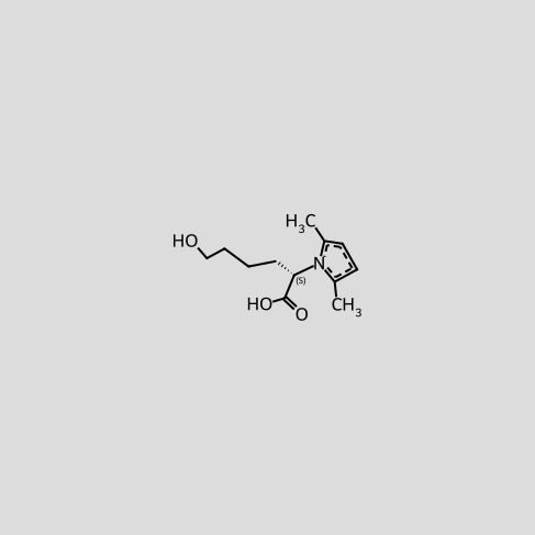 Cc1ccc(C)n1[C@@H](CCCCO)C(=O)O